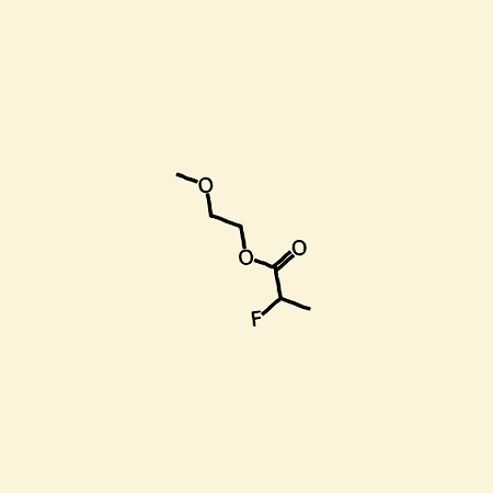 COCCOC(=O)C(C)F